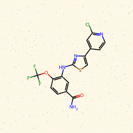 NC(=O)c1ccc(OC(F)(F)F)c(Nc2nc(-c3ccnc(Cl)c3)cs2)c1